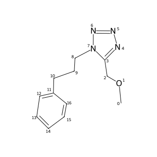 COCc1nnnn1CCCc1ccccc1